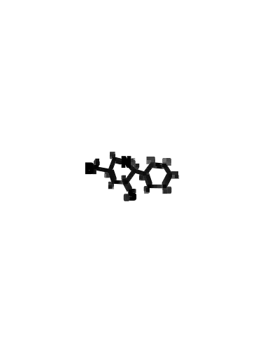 S=C1C=C(Br)C=NC1c1ccccc1